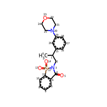 CC(CN1C(=O)c2ccccc2S1(=O)=O)c1cccc(N2CCOCC2)c1